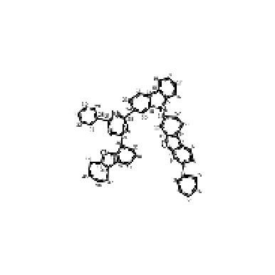 c1ccc(-c2ccc3c(c2)oc2cc(-n4c5ccccc5c5ccc(-c6nc(-c7ccccc7)nc(-c7cccc8c7oc7ccccc78)n6)cc54)ccc23)cc1